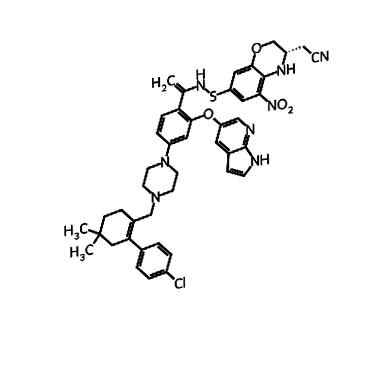 C=C(NSc1cc2c(c([N+](=O)[O-])c1)N[C@@H](CC#N)CO2)c1ccc(N2CCN(CC3=C(c4ccc(Cl)cc4)CC(C)(C)CC3)CC2)cc1Oc1cnc2[nH]ccc2c1